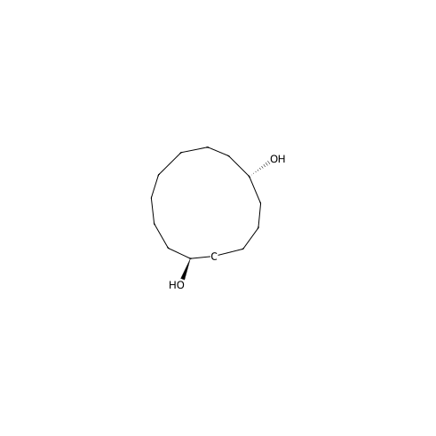 O[C@H]1CCCCCCC[C@H](O)CCCC1